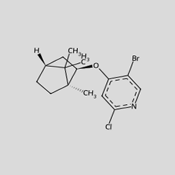 CC1(C)[C@@H]2CC[C@]1(C)[C@H](Oc1cc(Cl)ncc1Br)C2